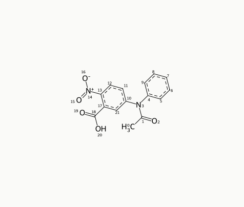 CC(=O)N(c1ccccc1)c1ccc([N+](=O)[O-])c(C(=O)O)c1